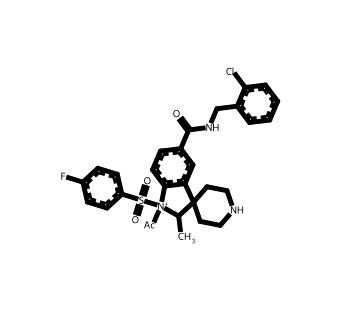 CC(=O)[N+]1(S(=O)(=O)c2ccc(F)cc2)c2ccc(C(=O)NCc3ccccc3Cl)cc2C2(CCNCC2)C1C